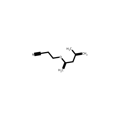 C=C(C)CC(=C)OCCC#N